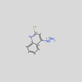 NNc1cc(F)nc2ccccc12